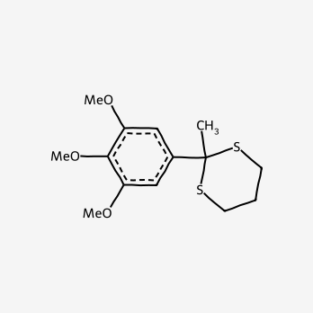 COc1cc(C2(C)SCCCS2)cc(OC)c1OC